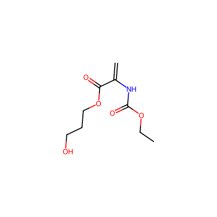 C=C(NC(=O)OCC)C(=O)OCCCO